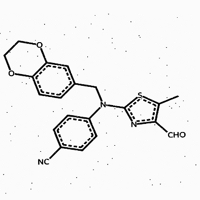 Cc1sc(N(Cc2ccc3c(c2)OCCO3)c2ccc(C#N)cc2)nc1C=O